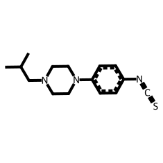 CC(C)CN1CCN(c2ccc(N=C=S)cc2)CC1